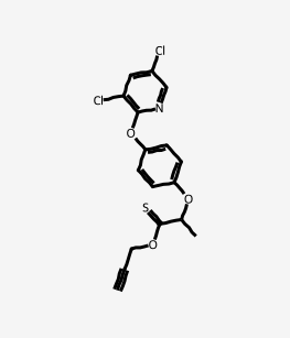 C#CCOC(=S)C(C)Oc1ccc(Oc2ncc(Cl)cc2Cl)cc1